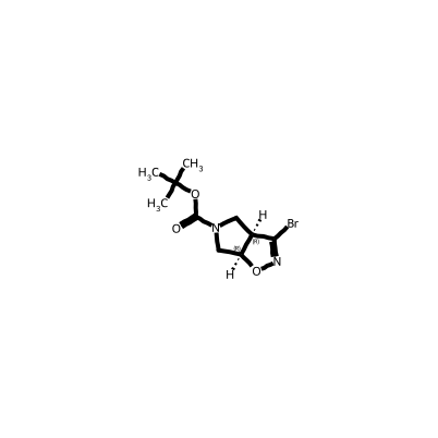 CC(C)(C)OC(=O)N1C[C@@H]2ON=C(Br)[C@@H]2C1